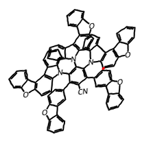 N#Cc1c(-c2ccc3oc4ccccc4c3c2)c(-n2c3ccccc3c3c4c(ccc32)oc2ccccc24)c(-n2c3ccccc3c3c4c(ccc32)oc2ccccc24)c(-n2c3ccccc3c3c4c(ccc32)oc2ccccc24)c1-c1ccc2oc3ccccc3c2c1